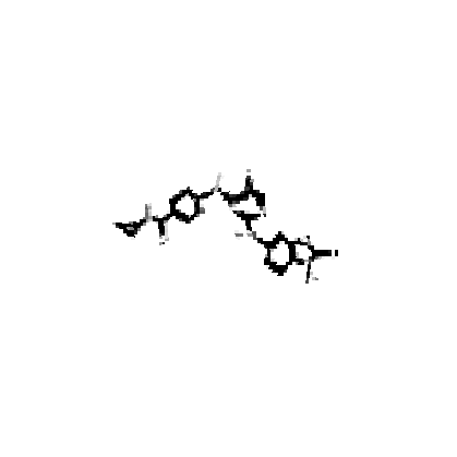 CCn1c(=O)oc2cc(Nc3ncc(F)c(Nc4ccc(C(=O)NC5CC5)cc4)n3)ccc21